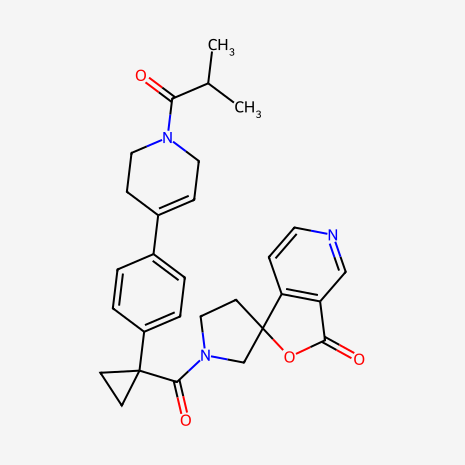 CC(C)C(=O)N1CC=C(c2ccc(C3(C(=O)N4CCC5(C4)OC(=O)c4cnccc45)CC3)cc2)CC1